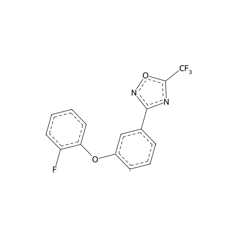 Fc1ccccc1Oc1[c]ccc(-c2noc(C(F)(F)F)n2)c1